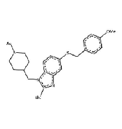 COc1ccc(CSc2ccc3c(c2)nc(C(C)(C)C)n3CC2CCN(C(C)=O)CC2)cc1